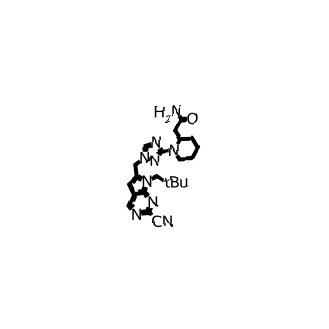 CC(C)(C)Cn1c(Cn2cnc(N3CCCCC3CC(N)=O)n2)cc2cnc(C#N)nc21